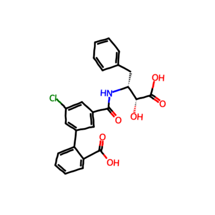 O=C(N[C@H](Cc1ccccc1)[C@@H](O)C(=O)O)c1cc(Cl)cc(-c2ccccc2C(=O)O)c1